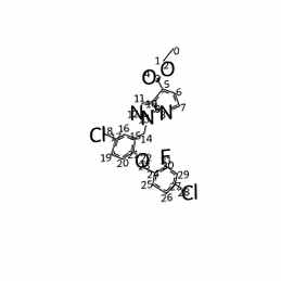 CCOC(=O)c1ccnc2c1cnn2Cc1cc(Cl)ccc1OCc1ccc(Cl)cc1F